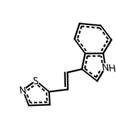 C(=Cc1c[nH]c2ccccc12)c1ccns1